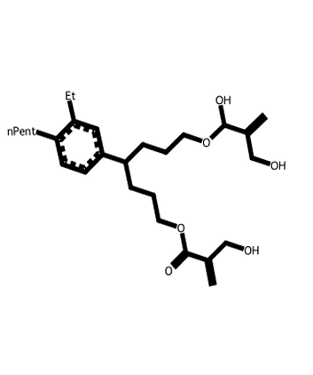 C=C(CO)C(=O)OCCCC(CCCOC(O)C(=C)CO)c1ccc(CCCCC)c(CC)c1